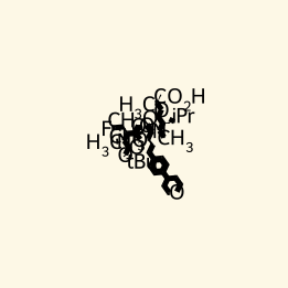 CC(C)C[C@@H](C(=O)O[C@H](C)C(=O)O)N(C)C(=O)[C@@H](CCc1ccc(C2CCOCC2)cc1)OC(=O)[C@H](CC(C)(C)F)N(C)C(=O)OC(C)(C)C